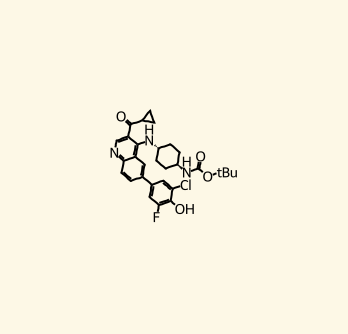 CC(C)(C)OC(=O)N[C@H]1CC[C@H](Nc2c(C(=O)C3CC3)cnc3ccc(-c4cc(F)c(O)c(Cl)c4)cc23)CC1